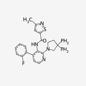 Cc1cc(C(=O)Nc2c(-c3ccccc3F)ccnc2N2CCC(P)(P)C2)sn1